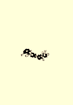 O=C1CCC(N2Cc3cc(N4CC5(CCN(C(=O)c6c(F)cccc6F)CC5)C4)ccc3C2=O)C(=O)N1